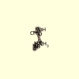 COc1cc2c(cc1OCCCCCC(=O)N1C[C@@H](CCl)c3c1cc(O)c1ccccc31)N=C[C@@H]1Cc3ccccc3CN1C2=O